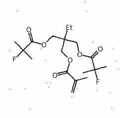 C=C(C)C(=O)OCC(CC)(COC(=O)C(C)(C)F)COC(=O)C(C)(C)F